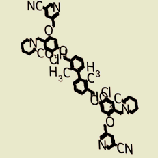 Cc1c(COc2cc(OCc3cncc(C#N)c3)c(CN3CCCCC3C(=O)O)cc2Cl)cccc1-c1cccc(COc2cc(OCc3cncc(C#N)c3)c(CN3CCCC[C@H]3C(=O)O)cc2Cl)c1C